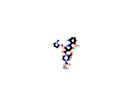 CN1CCC[C@H]1COc1nc(-c2c(O)cccc2F)c(Cl)c2c1C(=O)N1CCN(C(=O)OC(C)(C)C)C[C@@H]1CO2